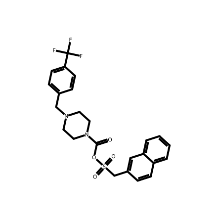 O=C(OS(=O)(=O)Cc1ccc2ccccc2c1)N1CCN(Cc2ccc(C(F)(F)F)cc2)CC1